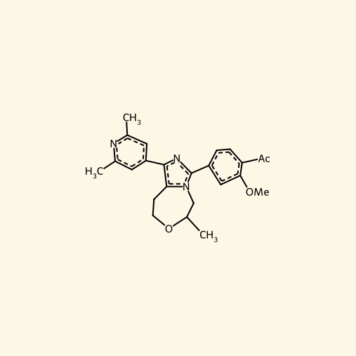 COc1cc(-c2nc(-c3cc(C)nc(C)c3)c3n2CC(C)OCC3)ccc1C(C)=O